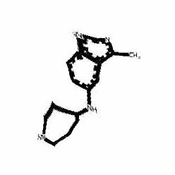 Cc1n[nH]c2ccc(NC3CCNCC3)cc12